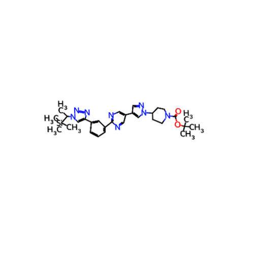 CC(n1cc(-c2cccc(-c3ncc(-c4cnn(C5CCN(C(=O)OC(C)(C)C)CC5)c4)cn3)c2)nn1)[Si](C)(C)C